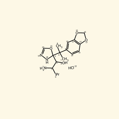 CC(C)C(N)C(O)C1(C(C)(C)c2ccc3c(c2)OCO3)NN=CO1.Cl